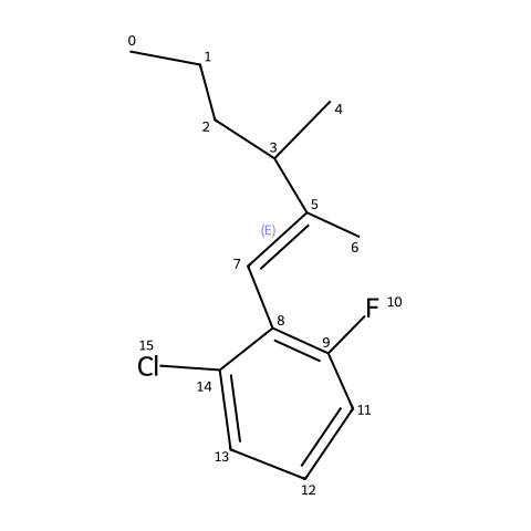 CCCC(C)/C(C)=C/c1c(F)cccc1Cl